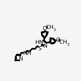 COc1ccc(-c2nc(SCCCCCNCc3ccccn3)[nH]c2-c2ccc(OC)cc2)cc1